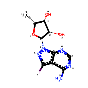 C[C@H]1O[C@@H](n2nc(I)c3c(N)ncnc32)[C@@H](O)[C@H]1O